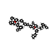 c1cc(-c2ccc3cc(-c4ccc5c6ccccc6n(-c6ccccc6-c6ccc(N(c7ccc(-c8ccc9ccccc9c8)cc7)c7cccc(-c8cccc9oc%10ccccc%10c89)c7)cc6)c5c4)ccc3c2)cc(N(c2ccc(-c3ccccc3-n3c4ccccc4c4ccccc43)cc2)c2cccc(-c3cccc4oc5ccccc5c34)c2)c1